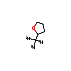 [2H]C([2H])([2H])C1CCCO1